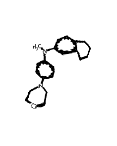 CN(c1ccc(N2CCOCC2)cc1)c1ccc2c(c1)CCCC2